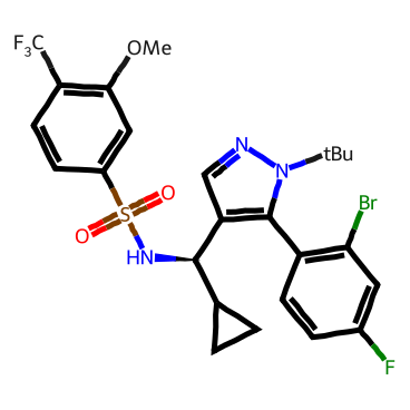 COc1cc(S(=O)(=O)N[C@@H](c2cnn(C(C)(C)C)c2-c2ccc(F)cc2Br)C2CC2)ccc1C(F)(F)F